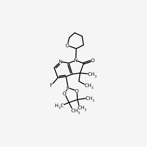 CCC1(C)C(=O)N(C2CCCCO2)c2ncc(F)c(B3OC(C)(C)C(C)(C)O3)c21